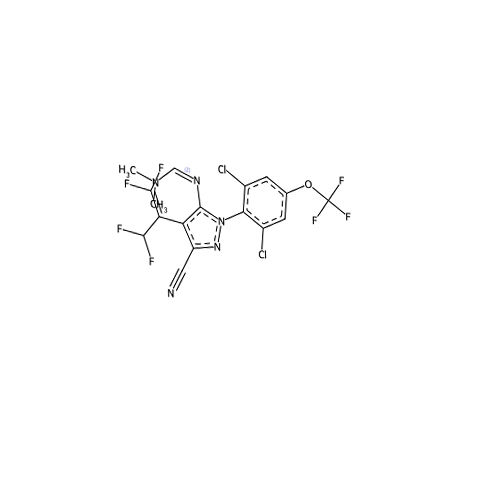 CN(C)/C=N\c1c(C(=C(F)F)C(F)F)c(C#N)nn1-c1c(Cl)cc(OC(F)(F)F)cc1Cl